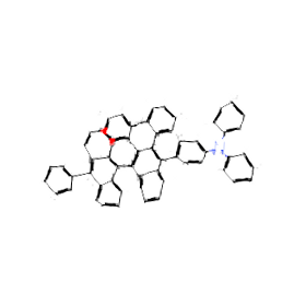 c1ccc(-c2c3ccccc3c(-c3c4ccccc4c(-c4ccc(N(c5ccccc5)c5ccccc5)cc4)c4c5ccccc5c5ccccc5c34)c3ccccc23)cc1